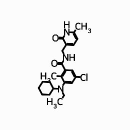 CCN(c1cc(Cl)cc(C(=O)NCc2ccc(C)[nH]c2=O)c1C)C1CCCCC1